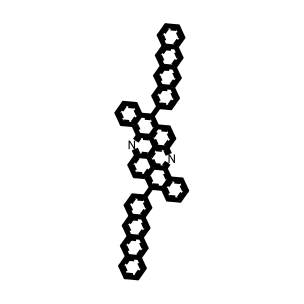 c1ccc2cc3cc4cc(-c5c6ccccc6c6nc7ccc8c(-c9ccc%10cc%11cc%12ccccc%12cc%11cc%10c9)c9ccccc9c9nc%10ccc5c6c%10c7c89)ccc4cc3cc2c1